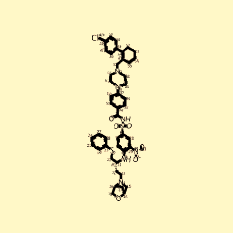 O=C(NS(=O)(=O)c1ccc(N[C@H](CCN2CC3CC2CO3)CSc2ccccc2)c([N+](=O)[O-])c1)c1ccc(N2CCN(CC3=C(c4ccc(Cl)cc4)CCCC3)CC2)cc1